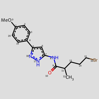 COc1ccc(-c2cc(NC(=O)C(C)CCCBr)[nH]n2)cc1